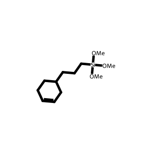 CO[Si](CCCC1CC=CCC1)(OC)OC